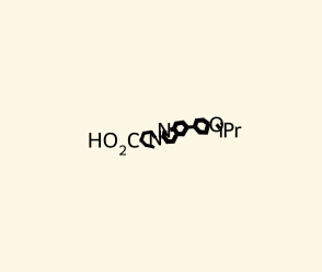 CC(C)Oc1ccc(-c2ccc3nc(N4CCC(C(=O)O)CC4)ccc3c2)cc1